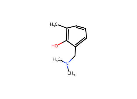 Cc1cccc(CN(C)C)c1O